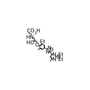 CCc1cc(-c2noc(-c3cc(C)nc(N(CC)CC)n3)n2)cc(C)c1OC[C@@H](O)CNCCC(=O)O